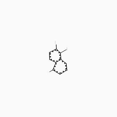 Fc1[c]cc2c(F)c[c]cc2c1F